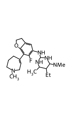 CCC1C(C)NC(Nc2cc3c(c(C4=CCN(C)CCC4)c2F)OCC3)NC1NC